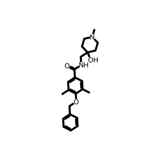 Cc1cc(C(=O)NCC2(O)CCN(C)CC2)cc(C)c1OCc1ccccc1